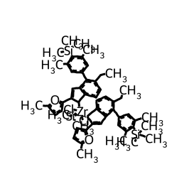 CCc1ccc2c(c1-c1cc(C)c([Si](C)(C)C)c(C)c1)C=C(c1ccc(C)o1)[CH]2[Zr]([Cl])([Cl])([CH]1C(c2ccc(C)o2)=Cc2c1ccc(CC)c2-c1cc(C)c([Si](C)(C)C)c(C)c1)=[Si](C)C